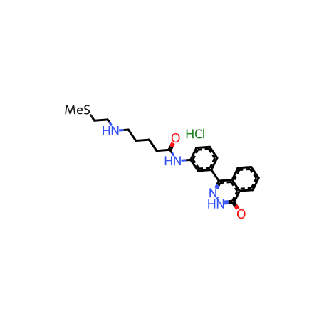 CSCCNCCCCC(=O)Nc1cccc(-c2n[nH]c(=O)c3ccccc23)c1.Cl